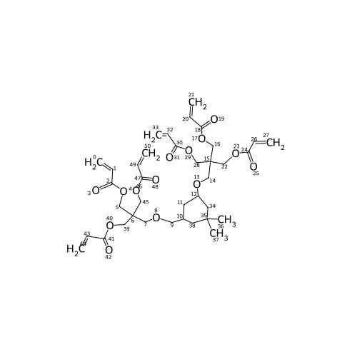 C=CC(=O)OCC(COCC1CC(OCC(COC(=O)C=C)(COC(=O)C=C)COC(=O)C=C)CC(C)(C)C1)(COC(=O)C=C)COC(=O)C=C